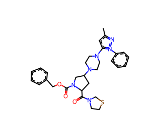 Cc1cc(N2CCN(C3CC(C(=O)N4CCSC4)N(C(=O)OCc4ccccc4)C3)CC2)n(-c2ccccc2)n1